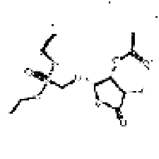 CCOP(=O)(CO[C@H]1OC(=O)[C@@H](F)[C@H]1OC(C)=O)OCC